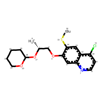 C[C@H](COc1cc2nccc(Cl)c2cc1SC(C)(C)C)OC1CCCCO1